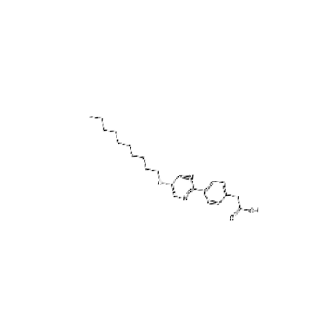 CCCCCCCCCCOc1cnc(-c2ccc(CC(=O)O)cc2)nc1